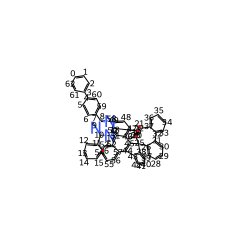 c1ccc(-c2ccc(-c3nc(-c4ccccc4)nc(-c4ccc5c(c4)C4(c6ccccc6-c6ccccc6-5)c5ccccc5-c5c4c4ccccc4c4ccccc54)n3)cc2)cc1